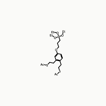 CCO[Si](CCCOc1ccc(CCSC(C)=O)c(CCSC(C)=O)c1)(OCC)OCC